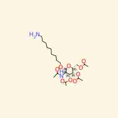 CC(=O)N[C@H]1[C@H](OCCCCCCCCCN)O[C@H](COC(C)=O)[C@H](OC(C)=O)[C@@H]1OC(C)=O